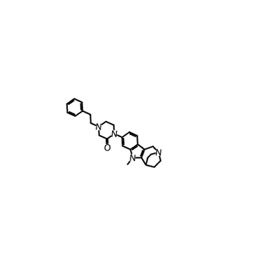 Cn1c2c(c3ccc(N4CCN(CCc5ccccc5)CC4=O)cc31)CN1CCC2CC1